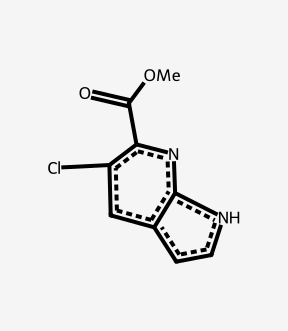 COC(=O)c1nc2[nH]ccc2cc1Cl